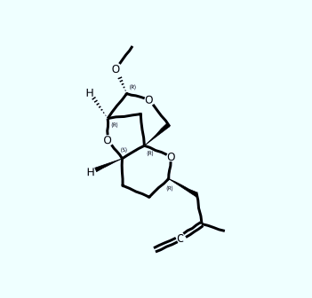 C=C=C(C)C[C@H]1CC[C@@H]2O[C@@H]3C[C@]2(CO[C@H]3OC)O1